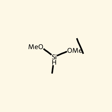 CC.CO[SiH](C)OC